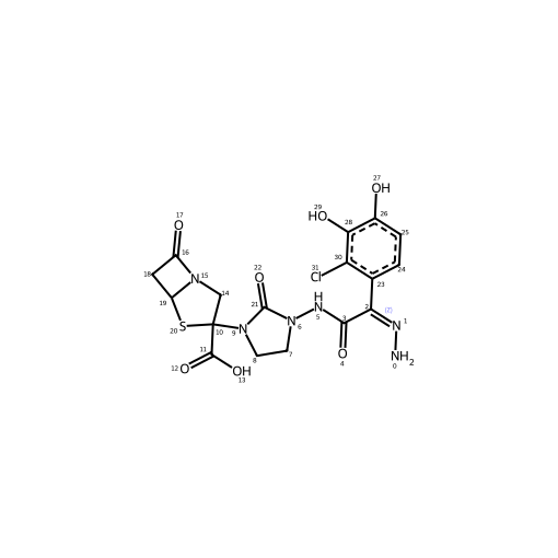 N/N=C(\C(=O)NN1CCN(C2(C(=O)O)CN3C(=O)CC3S2)C1=O)c1ccc(O)c(O)c1Cl